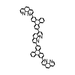 c1cnc2c(c1)ccc1ccc(-c3ccc4c5ccc(-c6ccc7ccc8c(-c9ccc%10c%11ccc(-c%12ccc%13ccc%14cccnc%14c%13n%12)cc%11c%11ccccc%11c%10c9)ccnc8c7n6)cc5c5ccccc5c4c3)nc12